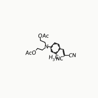 CC(=O)OCCN(CCOC(C)=O)c1ccc(C=C(C#N)C#N)c(C)c1